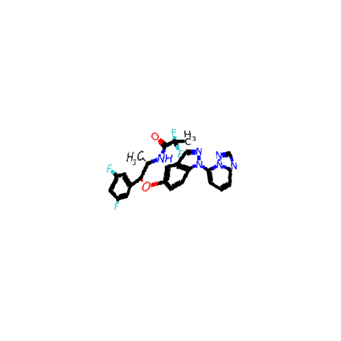 C[C@H](NC(=O)C(C)(F)F)[C@H](Oc1ccc2c(cnn2-c2cccc3ncnn23)c1)c1cc(F)cc(F)c1